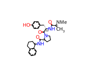 CN[C@@H](C)C(=O)N[C@@H](Cc1ccc(O)cc1)C(=O)N1CCC[C@H]1C(=O)N[C@@H]1CCCc2ccccc21